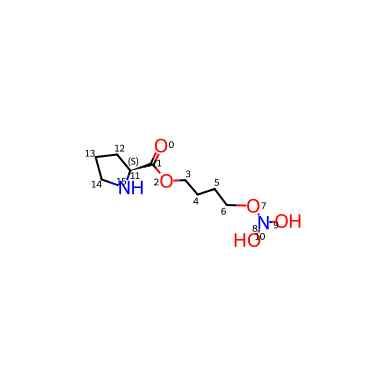 O=C(OCCCCON(O)O)[C@@H]1CCCN1